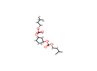 CC(C)CCOC(=O)OC1CCCC(OC(=O)OCCC(C)C)C1